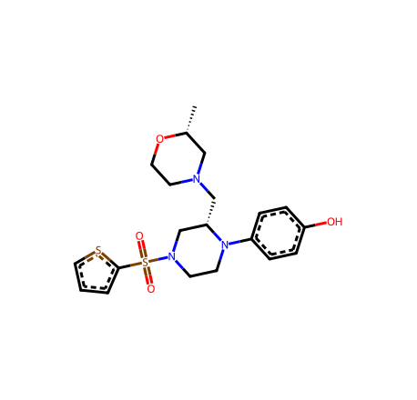 C[C@@H]1CN(C[C@H]2CN(S(=O)(=O)c3cccs3)CCN2c2ccc(O)cc2)CCO1